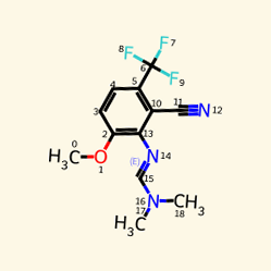 COc1ccc(C(F)(F)F)c(C#N)c1/N=C/N(C)C